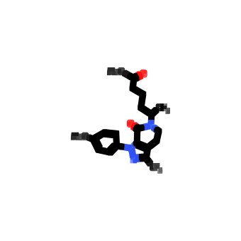 COC(=O)CCCC(C)N1CCc2c(C(F)(F)F)nn(-c3ccc(OC)cc3)c2C1=O